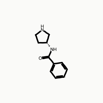 O=C(N[C@@H]1CCNC1)c1cc[c]cc1